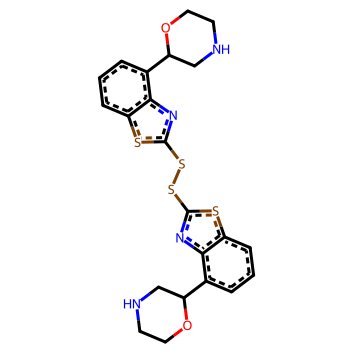 c1cc(C2CNCCO2)c2nc(SSc3nc4c(C5CNCCO5)cccc4s3)sc2c1